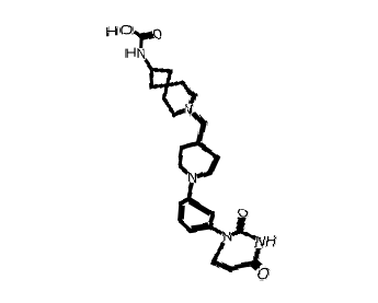 O=C(O)NC1CC2(CCN(CC3CCN(c4cccc(N5CCC(=O)NC5=O)c4)CC3)CC2)C1